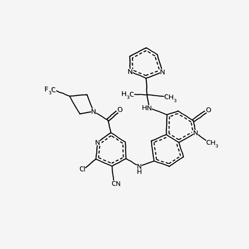 Cn1c(=O)cc(NC(C)(C)c2ncccn2)c2cc(Nc3cc(C(=O)N4CC(C(F)(F)F)C4)nc(Cl)c3C#N)ccc21